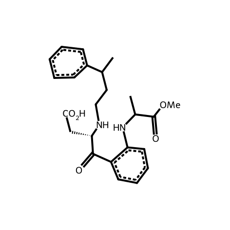 COC(=O)C(C)Nc1ccccc1C(=O)[C@H](CC(=O)O)NCCC(C)c1ccccc1